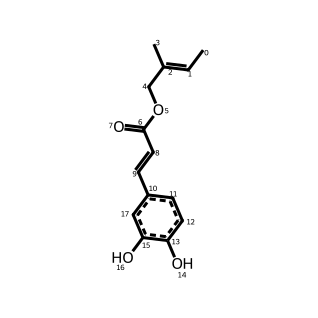 CC=C(C)COC(=O)C=Cc1ccc(O)c(O)c1